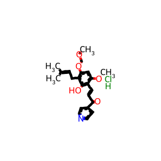 COCOc1cc(OC)c(C=CC(=O)c2ccncc2)c(O)c1CC=C(C)C.Cl